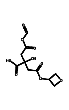 O=COC(=O)CC(O)(CC(=O)OC1COC1)C(=O)O